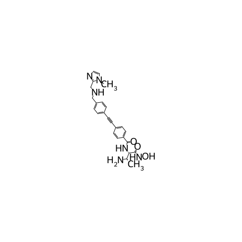 C[C@@H](N)[C@H](NC(=O)c1ccc(C#Cc2ccc(CNCc3nccn3C)cc2)cc1)C(=O)NO